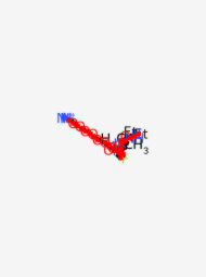 CCN(CC)CCNC(=O)c1c(C)[nH]c(/C=C2\C(=O)N(COC(=O)CCOCCOCCOCCOCCOCCOCCN=[N+]=[N-])c3ccc(F)cc32)c1C